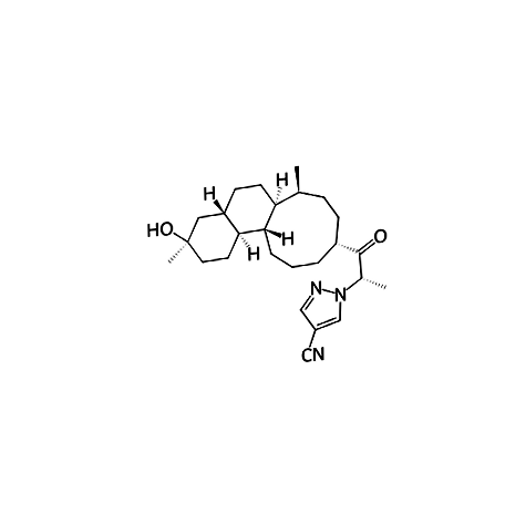 C[C@H]1CC[C@H](C(=O)[C@H](C)n2cc(C#N)cn2)CCC[C@H]2[C@H]1CC[C@H]1C[C@](C)(O)CC[C@@H]12